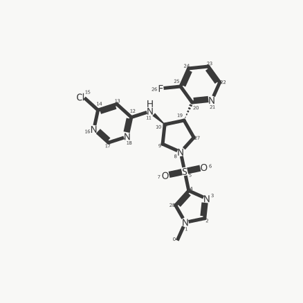 Cn1cnc(S(=O)(=O)N2C[C@@H](Nc3cc(Cl)ncn3)[C@H](c3ncccc3F)C2)c1